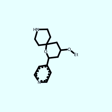 CCOC1CC(c2ccncc2)OC2(CCNCC2)C1